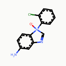 Nc1ccc2c(c1)N=C[N+]2([O-])c1ccccc1Cl